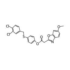 COc1ccc2nc(CC(=O)Oc3ccc(SCc4ccc(Cl)c(Cl)c4)cc3)oc2c1